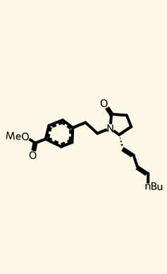 CCCCC=C/C=C/[C@H]1CCC(=O)N1CCc1ccc(C(=O)OC)cc1